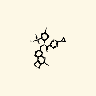 CS(=O)(=O)c1cc(F)ccc1N(Cc1ccc2c3c(c(Br)nc2c1)COC3)C(=O)c1cnc(C2CC2)nc1